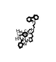 CC1CN(CCCn2c3ccccc3c3ccccc32)CC(CC2CCN(c3nc(NC(C)c4ccccc4)c4ccccc4n3)C2)N1